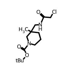 CC1(CNC(=O)CCl)CCCN(C(=O)OC(C)(C)C)C1